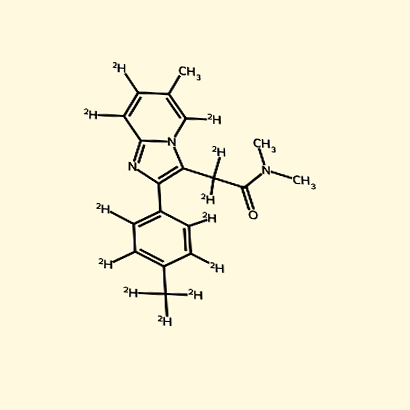 [2H]c1c([2H])c(C([2H])([2H])[2H])c([2H])c([2H])c1-c1nc2c([2H])c([2H])c(C)c([2H])n2c1C([2H])([2H])C(=O)N(C)C